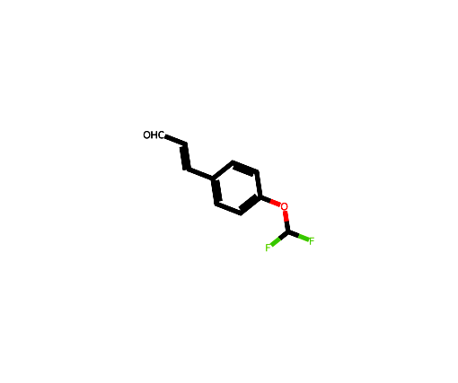 O=CC=Cc1ccc(OC(F)F)cc1